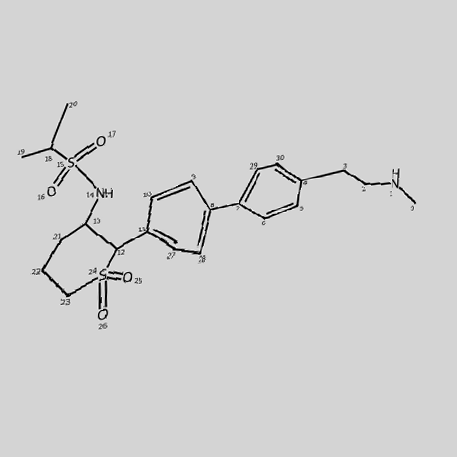 CNCCc1ccc(-c2ccc(C3C(NS(=O)(=O)C(C)C)CCCS3(=O)=O)cc2)cc1